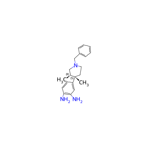 C[C@H]1CN(Cc2ccccc2)CC[C@]1(C)c1ccc(N)c(N)c1